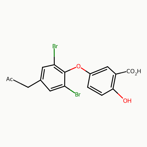 CC(=O)Cc1cc(Br)c(Oc2ccc(O)c(C(=O)O)c2)c(Br)c1